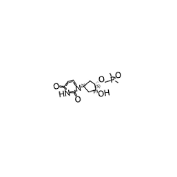 CP(C)(=O)CO[C@H]1C[C@@H](n2ccc(=O)[nH]c2=O)C[C@H]1O